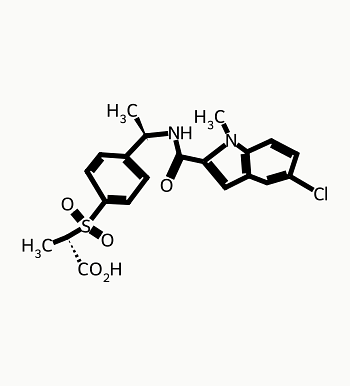 C[C@@H](NC(=O)c1cc2cc(Cl)ccc2n1C)c1ccc(S(=O)(=O)[C@@H](C)C(=O)O)cc1